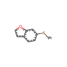 CC(C)Sc1ccc2ccoc2c1